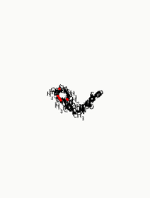 CC[C@H]1OC(=O)[C@H](C)C(=O)[C@H](C)[C@@H](O[C@@H]2O[C@H](C)C[C@H](N(C)CCc3cn(C[C@H]4CN(c5ccc(N6CCOCC6)c(F)c5)C(=O)O4)nn3)[C@H]2O)[C@@]2(C)C[C@@H](CO2)C(=O)[C@@H](C)[C@H]2NC(=O)O[C@@]21C